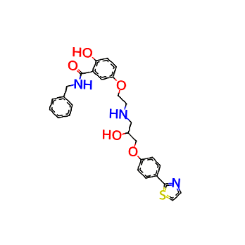 O=C(NCc1ccccc1)c1cc(OCCNCC(O)COc2ccc(-c3nccs3)cc2)ccc1O